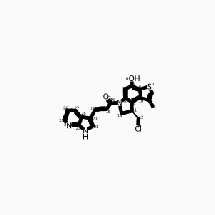 Cc1csc2c(O)cc3c(c12)[C@@H](CCl)CN3C(=O)C=Cc1c[nH]c2ncccc12